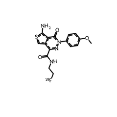 COc1ccc(-n2nc(C(=O)NCC[18F])c3csc(N)c3c2=O)cc1